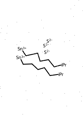 CC(C)CCCC[CH2][Sn+3].CC(C)CCCC[CH2][Sn+3].[S-2].[S-2].[S-2]